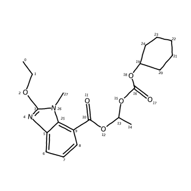 CCOc1nc2cccc(C(=O)OC(C)OC(=O)OC3CCCCC3)c2n1C